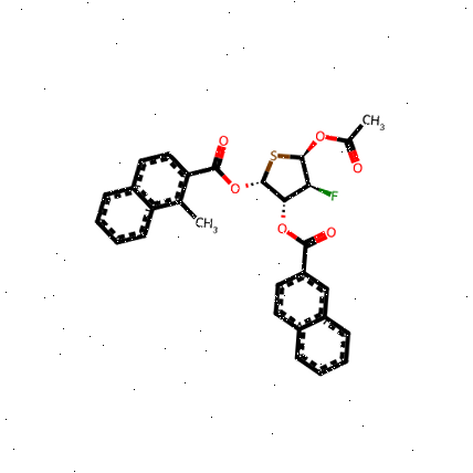 CC(=O)O[C@@H]1S[C@@H](OC(=O)c2ccc3ccccc3c2C)[C@@H](OC(=O)c2ccc3ccccc3c2)[C@@H]1F